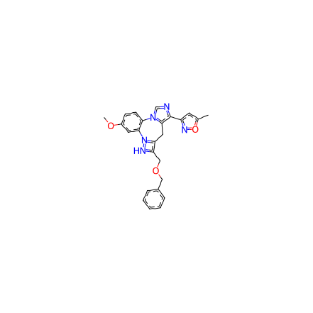 COc1ccc2c(c1)-n1[nH]c(COCc3ccccc3)c1Cc1c(-c3cc(C)on3)ncn1-2